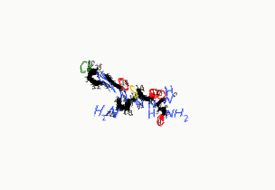 CNC(=O)[C@H](CCC(N)=O)NC(=O)c1csc([C@@H]2C[C@@H](N)CN2C(=O)c2cn3cc(Cl)ccc3n2)n1